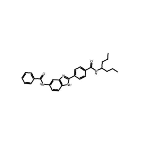 CCCC(CCC)NC(=O)c1ccc(-c2nc3cc(NC(=O)c4ccccc4)ccc3[nH]2)cc1